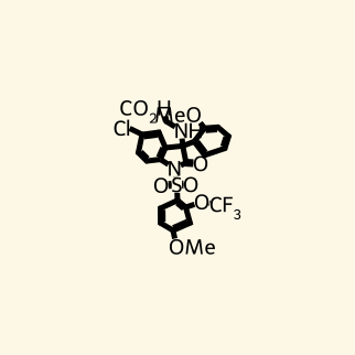 COc1ccc(S(=O)(=O)N2C(=O)C(NCC(=O)O)(c3ccccc3OC)c3cc(Cl)ccc32)c(OC(F)(F)F)c1